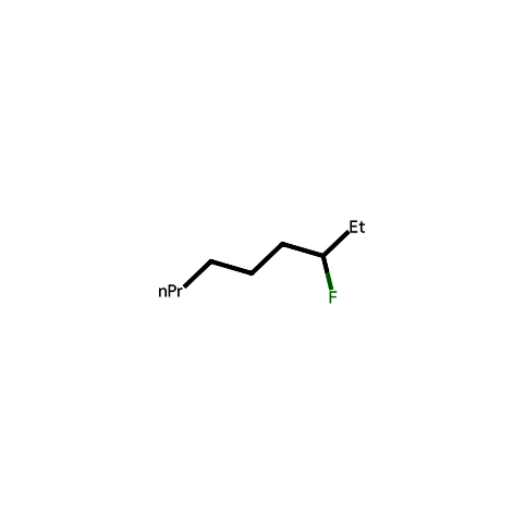 CCCCCCC(F)CC